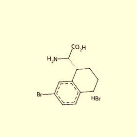 Br.NC(C(=O)O)[C@@H]1CCCc2ccc(Br)cc21